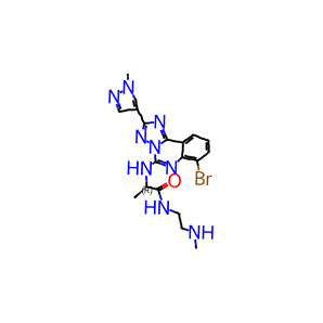 CNCCNC(=O)[C@@H](C)Nc1nc2c(Br)cccc2c2nc(-c3cnn(C)c3)nn12